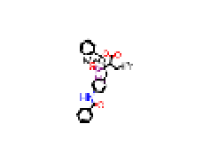 COC(Cc1ccc(NC(=O)c2ccccc2)cc1)([PH2]=O)C(CC(C)C)C(=O)OCc1ccccc1